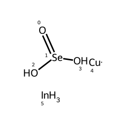 O=[Se](O)O.[Cu].[InH3]